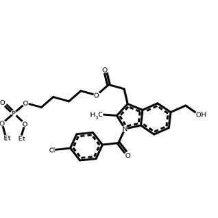 CCOP(=O)(OCC)OCCCCOC(=O)Cc1c(C)n(C(=O)c2ccc(Cl)cc2)c2ccc(CO)cc12